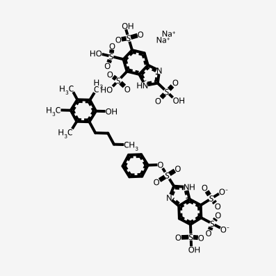 CCCCc1c(C)c(C)c(C)c(C)c1O.O=S(=O)(O)c1nc2cc(S(=O)(=O)O)c(S(=O)(=O)O)c(S(=O)(=O)O)c2[nH]1.O=S(=O)([O-])c1c(S(=O)(=O)O)cc2nc(S(=O)(=O)Oc3ccccc3)[nH]c2c1S(=O)(=O)[O-].[Na+].[Na+]